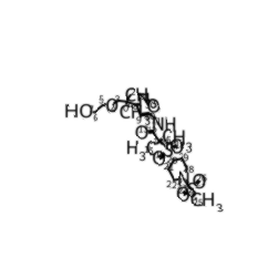 CC(C)(COCCO)c1cc(NC(=O)C(C)(C)S(=O)(=O)C2CCN(S(C)(=O)=O)CC2)on1